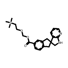 C[Si](C)(C)CCOCOC(=O)c1ccc2c(c1)CC1(CNc3ncccc31)C2